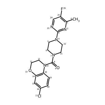 Cc1nc(N2CCN(C(=O)N3CCOc4cc(Cl)ccc43)CC2)ncc1F